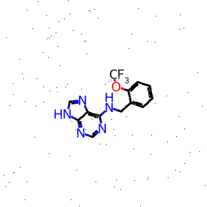 FC(F)(F)Oc1ccccc1CNc1ncnc2[nH]cnc12